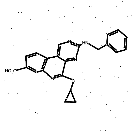 O=C(O)c1ccc2c(c1)nc(NC1CC1)c1nc(NCc3ccccc3)ncc12